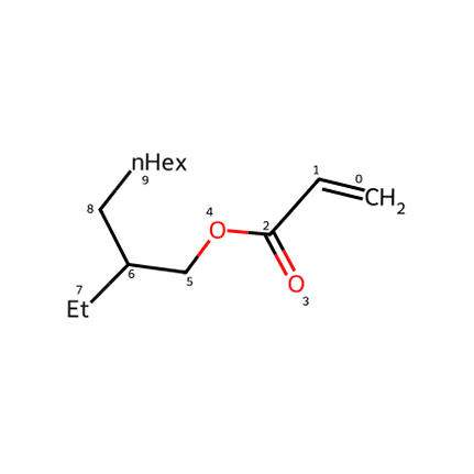 C=CC(=O)OCC(CC)CCCCCCC